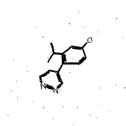 CC(C)c1cc(Cl)ccc1-c1ccnnc1